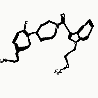 NCc1ccc(F)c(C2CCN(C(=O)c3cn(CCOC(F)(F)F)c4ccccc34)CC2)c1